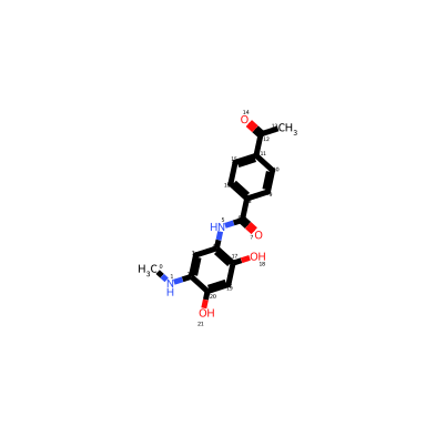 CNc1cc(NC(=O)c2ccc(C(C)=O)cc2)c(O)cc1O